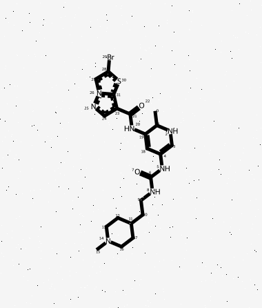 CC1NC=C(NC(=O)NCCC2CCN(C)CC2)C=C1NC(=O)c1cnn2cc(Br)sc12